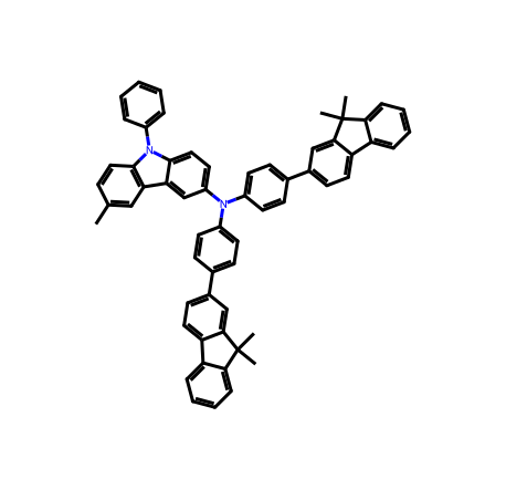 Cc1ccc2c(c1)c1cc(N(c3ccc(-c4ccc5c(c4)C(C)(C)c4ccccc4-5)cc3)c3ccc(-c4ccc5c(c4)C(C)(C)c4ccccc4-5)cc3)ccc1n2-c1ccccc1